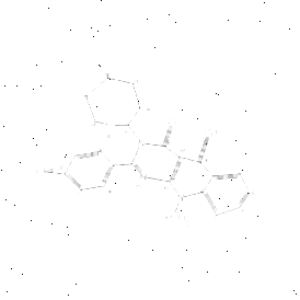 Cn1c2ccccc2c(=O)c2c(=O)n(C3CCCCCC3)c(-c3ccc(Cl)cc3)nc21